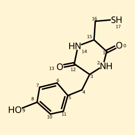 O=C1NC(Cc2ccc(O)cc2)C(=O)NC1CS